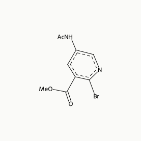 COC(=O)c1cc(NC(C)=O)cnc1Br